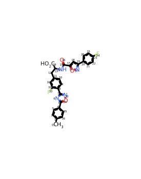 Cc1ccc(-c2nc(-c3ccc(CC(NC(=O)c4cc(-c5ccc(F)cc5)no4)C(=O)O)cc3F)no2)cc1